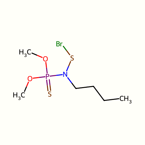 CCCCN(SBr)P(=S)(OC)OC